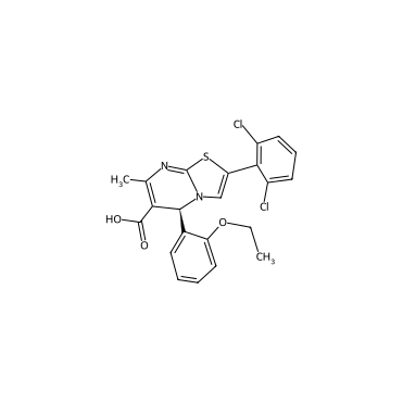 CCOc1ccccc1[C@H]1C(C(=O)O)=C(C)N=C2SC(c3c(Cl)cccc3Cl)=CN21